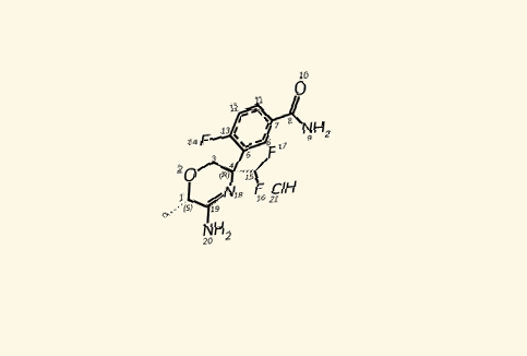 C[C@@H]1OC[C@](c2cc(C(N)=O)ccc2F)(C(F)F)N=C1N.Cl